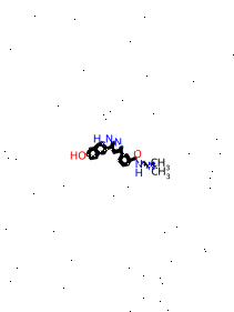 CN(C)CCNC(=O)c1cccc(-c2cnc(N)c(-c3ccc4cc(O)ccc4c3)c2)c1